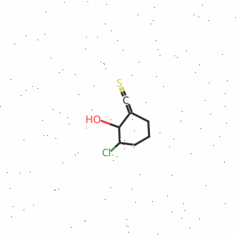 OC1C(=C=S)CCCC1Cl